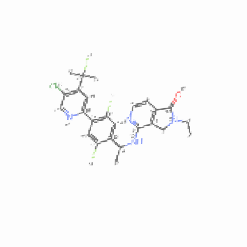 CCN1Cc2c(ccnc2N[C@@H](C)c2cc(F)c(-c3cc(C(C)(C)F)c(Cl)cn3)cc2F)C1=O